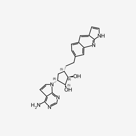 Nc1ncnc2c1ccn2[C@@H]1C[C@H](CCc2ccc3cc4cc[nH]c4nc3c2)[C@@H](O)[C@H]1O